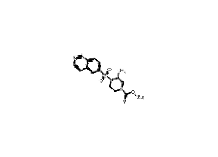 CC1CN(C(=O)OC(C)(C)C)CCN1S(=O)(=O)c1ccc2cnccc2c1